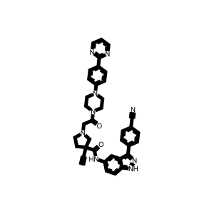 C#CC1(C(=O)Nc2ccc3[nH]nc(-c4ccc(C#N)cc4)c3c2)CCN(CC(=O)N2CCN(c3ccc(-c4ncccn4)cc3)CC2)C1